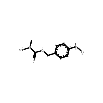 CCCN(C)C(=O)OCc1ccc(NCC)cc1